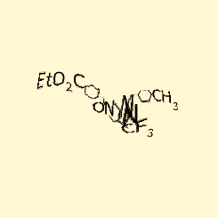 CCOC(=O)[C@H]1CC[C@H](CC(=O)N2CCc3c(C(F)(F)F)nn(CC4CCC(C)CC4)c3C2)CC1